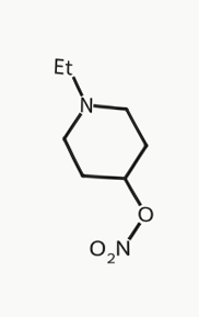 CCN1CCC(O[N+](=O)[O-])CC1